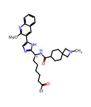 CCC(=O)CCCCC[C@H](NC(=O)C1CCC2(CC1)CN(C)C2)c1ncc(-c2cc3ccccc3nc2OC)[nH]1